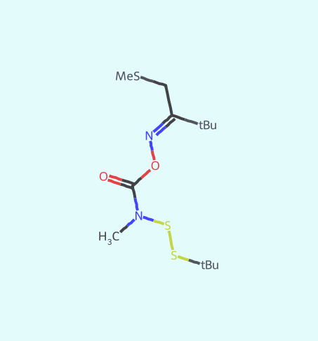 CSCC(=NOC(=O)N(C)SSC(C)(C)C)C(C)(C)C